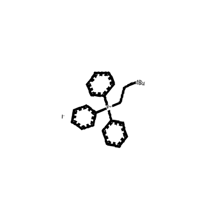 CC(C)(C)CC[P+](c1ccccc1)(c1ccccc1)c1ccccc1.[I-]